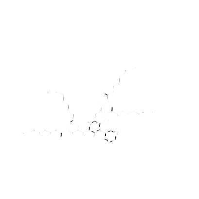 CCCCCCCCCCCCCCCC(=O)OCC(Cc1nc(CC(COC(=O)CCCCCCCCCCCCCCC)OC(=O)CCCCCCCCCCCCCCC)c(C(=O)O)c(-c2cccnc2)c1C(=O)O)OC(=O)CCCCCCCCCCCCCCC